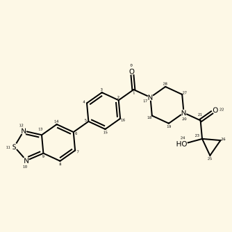 O=C(c1ccc(-c2ccc3nsnc3c2)cc1)N1CCN(C(=O)C2(O)CC2)CC1